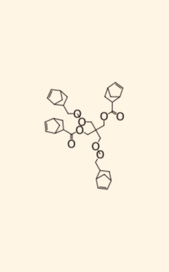 O=C(OCC(COOCC1CC2C=CC1C2)(COOCC1CC2C=CC1C2)COC(=O)C1CC2C=CC1C2)C1CC2C=CC1C2